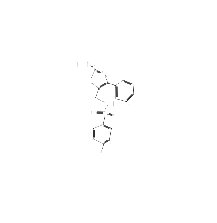 Cc1ccc(S(=O)(=O)NCc2sc(N)nc2-c2ccccc2)cc1